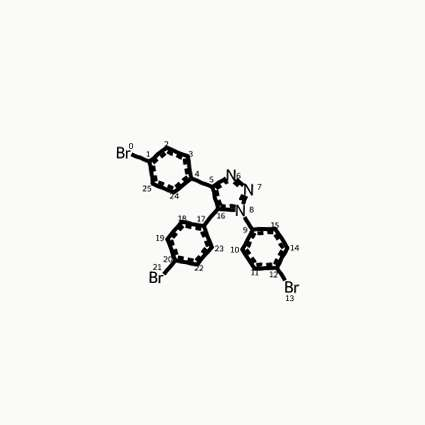 Brc1ccc(-c2nnn(-c3ccc(Br)cc3)c2-c2ccc(Br)cc2)cc1